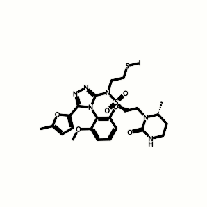 COc1cccc(OC)c1-n1c(-c2ccc(C)o2)nnc1N(CCSI)S(=O)(=O)CCN1C(=O)NCC[C@H]1C